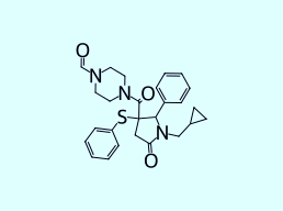 O=CN1CCN(C(=O)C2(Sc3ccccc3)CC(=O)N(CC3CC3)C2c2ccccc2)CC1